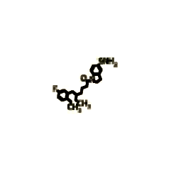 CCc1ccc(F)cc1CC(CC)CCCC(=O)N1CCc2cc(SN)ccc21